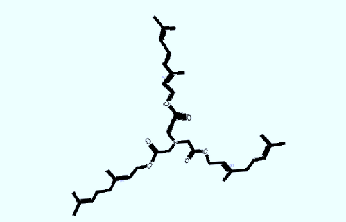 CC(C)=CCC/C(C)=C/COC(=O)CN(CC(=O)OC/C=C(\C)CCC=C(C)C)CC(=O)OC/C=C(\C)CCC=C(C)C